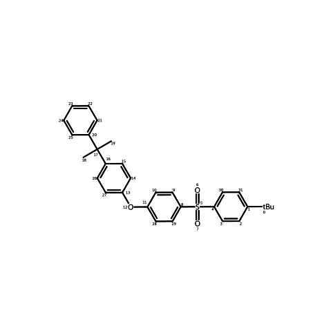 CC(C)(C)c1ccc(S(=O)(=O)c2ccc(Oc3ccc(C(C)(C)c4ccccc4)cc3)cc2)cc1